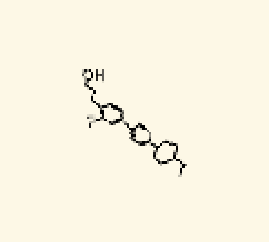 CCC1CCC(c2ccc(-c3ccc(CCCO)c(F)c3)cc2)CC1